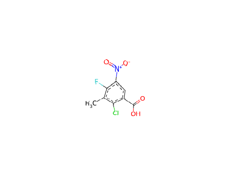 Cc1c(F)c([N+](=O)[O-])cc(C(=O)O)c1Cl